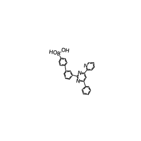 OB(O)c1ccc(-c2cccc(-c3nc(-c4ccccc4)cc(-c4ccccn4)n3)c2)cc1